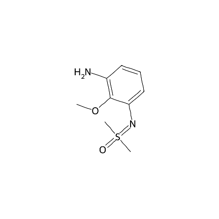 COc1c(N)cccc1N=S(C)(C)=O